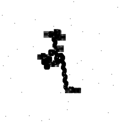 CCCCCCCCCCCCCCCCCCc1ccc(C(=O)NCCC[N+](O)(O)CC)cc1.CCCOS(=O)(=O)CCC